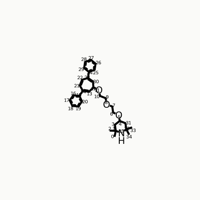 CC1(C)CC(OCCOCCOC2C=C(c3ccccc3)C=CC(c3ccccc3)=C2)CC(C)(C)N1